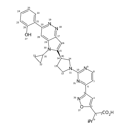 CC(C)C(C(=O)O)c1cc(-c2ccnc(N3CC[C@@H](c4cc5nnc(-c6ccccc6O)cc5n4C4CC4)C3)n2)no1